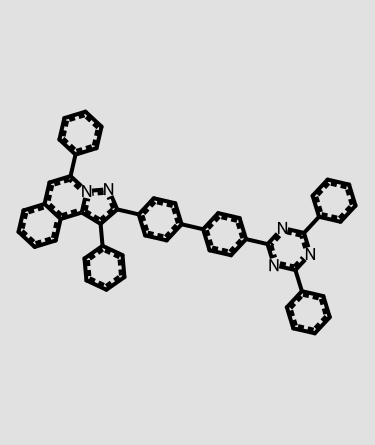 c1ccc(-c2nc(-c3ccccc3)nc(-c3ccc(-c4ccc(-c5nn6c(-c7ccccc7)cc7ccccc7c6c5-c5ccccc5)cc4)cc3)n2)cc1